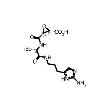 CCC(C)[C@H](NC(=O)[C@H]1O[C@@H]1C(=O)O)C(=O)NCCCc1cnc(N)[nH]1